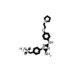 Nc1nc(Nc2ccc(OCCN3CCCC3)cc2)nn1-c1ccc(CS(N)(=O)=O)cc1